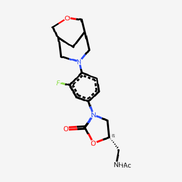 CC(=O)NC[C@H]1CN(c2ccc(N3CC4COCC(C4)C3)c(F)c2)C(=O)O1